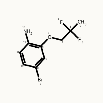 CC(F)(F)COc1cc(Br)ccc1N